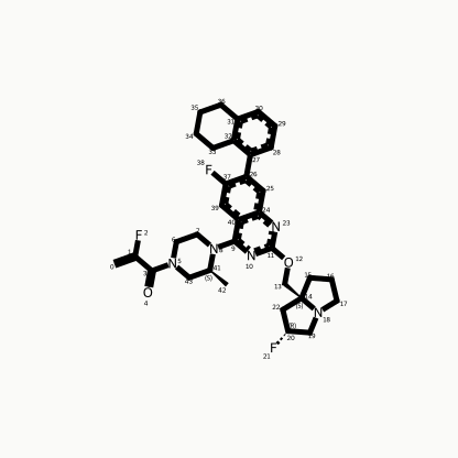 C=C(F)C(=O)N1CCN(c2nc(OC[C@@]34CCCN3C[C@H](F)C4)nc3cc(-c4cccc5c4CCCC5)c(F)cc23)[C@@H](C)C1